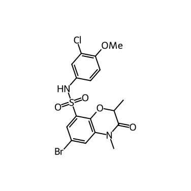 COc1ccc(NS(=O)(=O)c2cc(Br)cc3c2OC(C)C(=O)N3C)cc1Cl